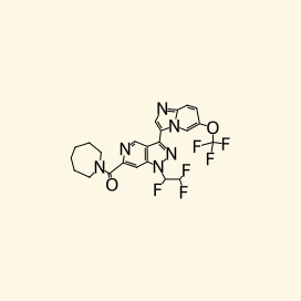 O=C(c1cc2c(cn1)c(-c1cnc3ccc(OC(F)(F)F)cn13)nn2C(F)C(F)F)N1CCCCCC1